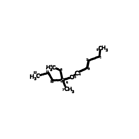 CCCCCO[Si](C)(CC)CCC